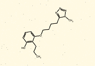 CCCc1c(O)[c]ccc1OCCCCc1nnnn1C